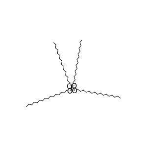 CCCCCCCCCCCCCCCC[O][Ti]([O]CCCCCCCCCCCCCCCC)([O]CCCCCCCCCCCCCCCC)[O]CCCCCCCCCCCCCCCC